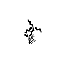 CC#N.CCCC[N+](CCCC)(CCCC)CCCC.O=S(=O)([O-])O